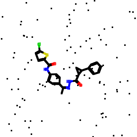 CC(=NNC(=O)C1CC1c1ccccc1)c1ccc(NC(=O)c2ccc(Cl)s2)cc1